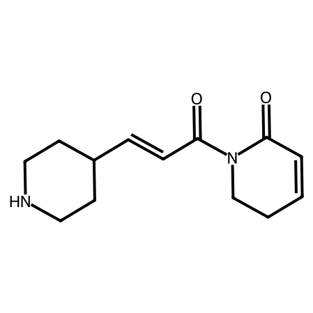 O=C1C=CCCN1C(=O)C=CC1CCNCC1